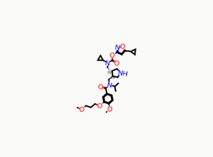 COCCCOc1cc(C(=O)N(C[C@@H]2CNC[C@H]2CN(C(=O)Oc2cc(C3CC3)on2)C2CC2)C(C)C)ccc1OC